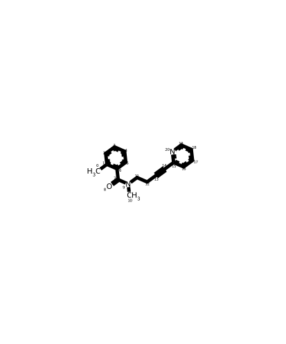 Cc1ccccc1C(=O)N(C)CCC#Cc1ccccn1